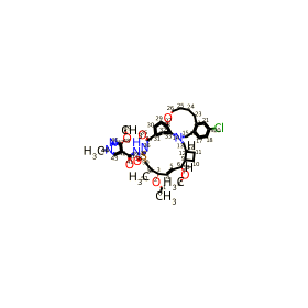 CCO[C@H]1/C=C/[C@H](OC)[C@@H]2CC[C@H]2CN2Cc3ccc(Cl)cc3CCCCOc3ccc(cc32)C(=O)N=S(=O)(NC(=O)c2cn(C)nc2OC)C[C@H]1C